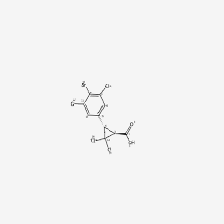 O=C(O)[C@@H]1[C@@H](c2cc(Cl)c(Br)c(Cl)c2)C1(Cl)Cl